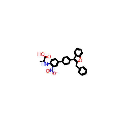 C[C@H](Nc1ccc(-c2ccc(-c3c(Cc4ccccc4)oc4ccccc34)cc2)cc1[N+](=O)[O-])C(=O)O